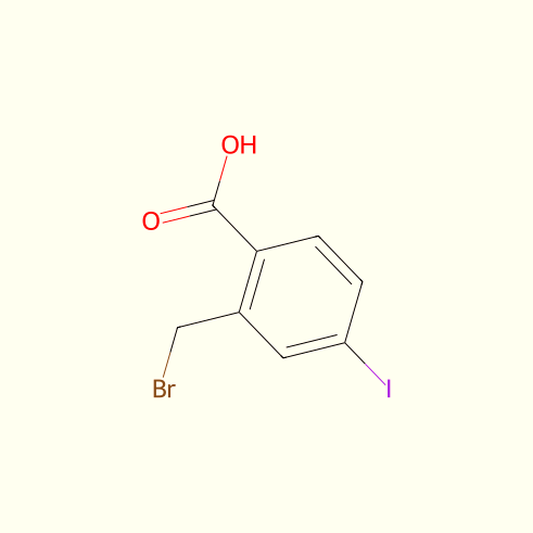 O=C(O)c1ccc(I)cc1CBr